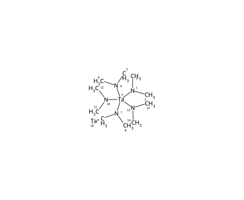 C[N](C)[Ta]([N](C)C)([N](C)C)([N](C)C)[N](C)C.[Ta]